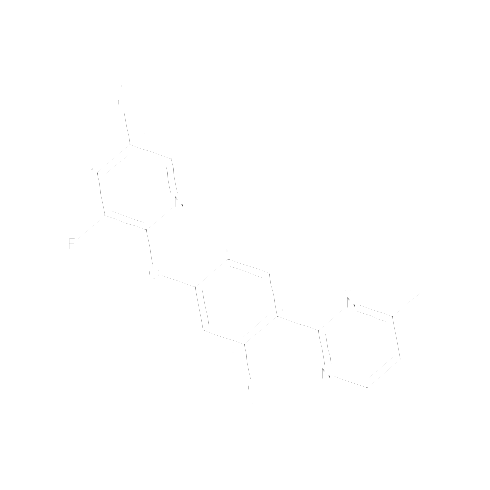 Cc1ccnc(-c2ccc(Oc3ncc(Cl)cc3F)cc2Cl)n1